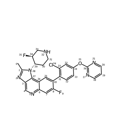 Cc1nc2cnc3cc(F)c(-c4ccc(Oc5ncccn5)cc4Cl)cc3c2n1[C@H]1CCNC[C@@H]1F